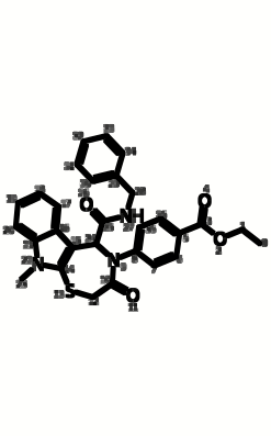 CCOC(=O)c1ccc(N2C(=O)CSc3c(c4ccccc4n3C)C2C(=O)NCc2ccccc2)cc1